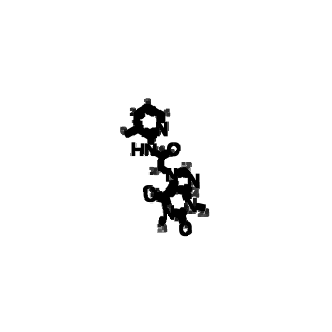 Cc1cccnc1NC(=O)Cn1cnc2c1c(=O)n(C)c(=O)n2C